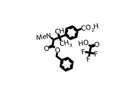 CNC(C(=O)OCc1ccccc1)C(C)(C)c1ccc(C(=O)O)cc1.O=C(O)C(F)(F)F